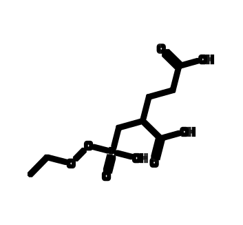 CCOOP(=O)(O)CC(CCC(=O)O)C(=O)O